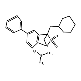 CN(C)C.O=S1(=O)N2CC1(CC1CCCCC1)c1cc(-c3ccccc3)ccc12